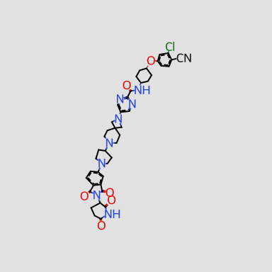 N#Cc1ccc(O[C@H]2CC[C@H](NC(=O)c3ncc(N4CC5(CCN(C6CCN(c7ccc8c(c7)C(=O)N(C7CCC(=O)NC7=O)C8=O)CC6)CC5)C4)cn3)CC2)cc1Cl